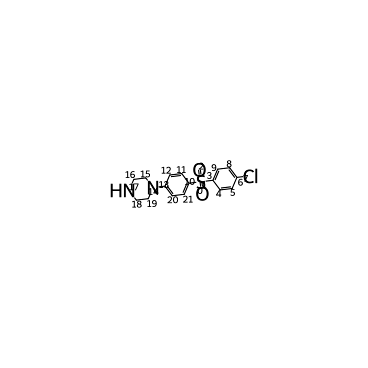 O=S(=O)(c1ccc(Cl)cc1)c1ccc(N2CCNCC2)cc1